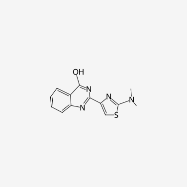 CN(C)c1nc(-c2nc(O)c3ccccc3n2)cs1